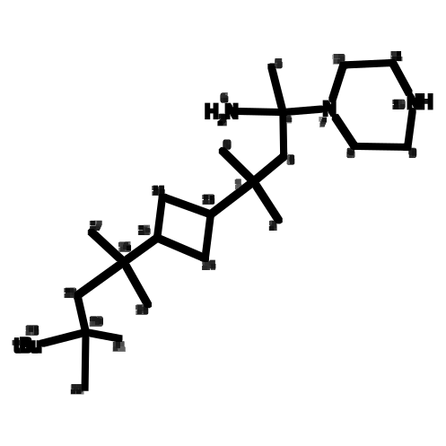 CC(C)(CC(C)(N)N1CCNCC1)C1CC(C(C)(C)CC(C)(C)C(C)(C)C)C1